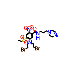 CCS(=O)(=O)c1cc([N+](=O)[O-])c(C(=O)NCCCN2CCN(C)CC2)cc1N(CCBr)CCBr